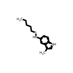 CCCCCSNc1ccc2[nH]cc(C)c2c1